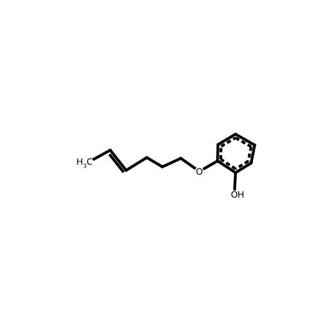 CC=CCCCOc1ccccc1O